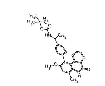 COc1cc(C)c2[nH]c(=O)c3ncccc3c2c1-c1ccc(C(C)NC(=O)OC(C)(C)C)cc1